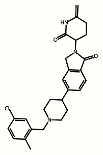 C=C1CCC(N2Cc3cc(C4CCN(Cc5cc(Cl)ccc5C)CC4)ccc3C2=O)C(=O)N1